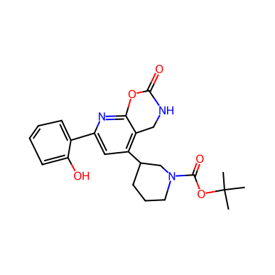 CC(C)(C)OC(=O)N1CCCC(c2cc(-c3ccccc3O)nc3c2CNC(=O)O3)C1